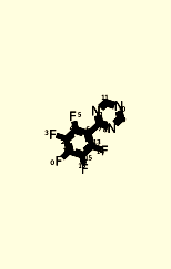 Fc1c(F)c(F)c(-c2ncncn2)c(F)c1F